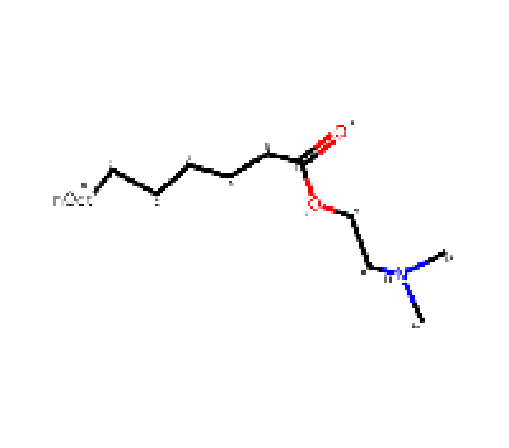 CCCCCCCCCCCCCC(=O)OCCN(C)C